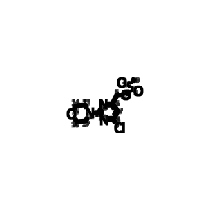 CS(=O)(=O)OCc1cc(Cl)nc(N2CCOCC2)n1